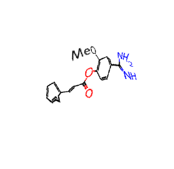 COc1cc(C(=N)N)ccc1OC(=O)C=Cc1ccccc1